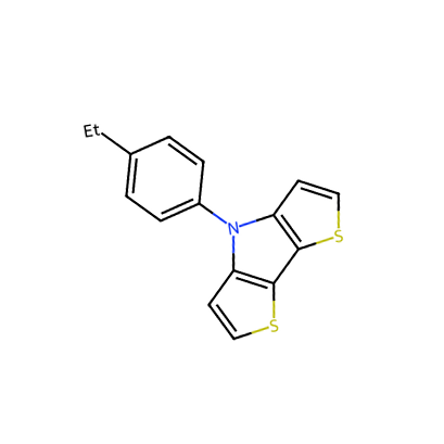 CCc1ccc(-n2c3ccsc3c3sccc32)cc1